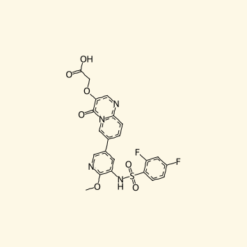 COc1ncc(-c2ccc3ncc(OCC(=O)O)c(=O)n3c2)cc1NS(=O)(=O)c1ccc(F)cc1F